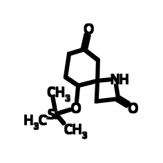 C[Si](C)(C)OC1CCC(=O)CC12CC(=O)N2